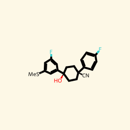 CSc1cc(F)cc([C@]2(O)CC[C@](C#N)(c3ccc(F)cc3)CC2)c1